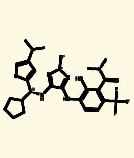 CC(C)c1coc([C@H](Nc2n[s+]([O-])nc2Nc2ccc(C(F)(F)F)c(C(=O)N(C)C)c2O)C2CCCC2)c1